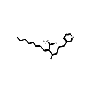 CCCCCC=CC=C(C(N)=O)C(C)CCCc1cccnc1